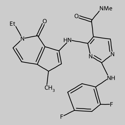 CCn1ccc2c(c1=O)C(Nc1nc(Nc3ccc(F)cc3F)ncc1C(=O)NC)=CC2C